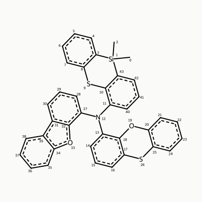 C[Si]1(C)c2ccccc2Sc2c(N(c3cccc4c3Oc3ccccc3S4)c3cccc4c3oc3ccccc34)cccc21